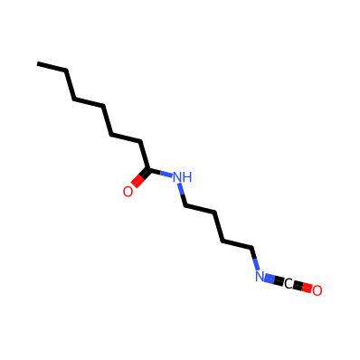 CCCCCCC(=O)NCCCCN=C=O